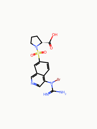 N=C(N)N(Br)c1cncc2cc(S(=O)(=O)N3CCC[C@@H]3C(=O)O)ccc12